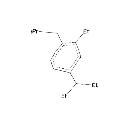 CCc1cc(C(CC)CC)ccc1CC(C)C